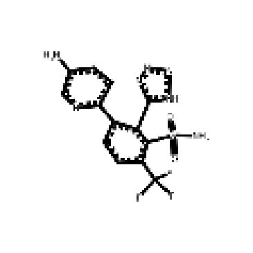 Nc1ccc(-c2ccc(C(F)(F)F)c(S(N)(=O)=O)c2-c2nnn[nH]2)nc1